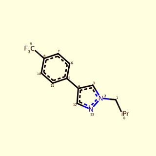 CC(C)Cn1cc(-c2ccc(C(F)(F)F)cc2)cn1